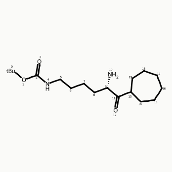 CC(C)(C)OC(=O)NCCCC[C@H](N)C(=O)C1CCCCCC1